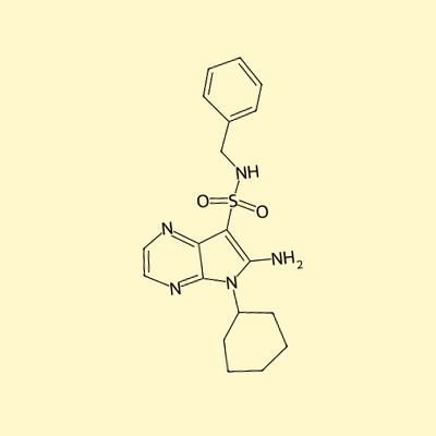 Nc1c(S(=O)(=O)NCc2ccccc2)c2nccnc2n1C1CCCCC1